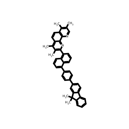 Cc1cnc2c(ccc3c(C)c(C)c(-c4cccc5c(-c6ccc(-c7ccc8c(c7)C(C)(C)c7ccccc7-8)cc6)cccc45)nc32)c1C